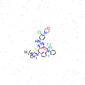 CN(C)c1nc(-c2cccc(N(C(=O)C(F)(F)F)c3c(F)cccc3F)c2)c(-c2ccnc(Nc3ccc(N4CCOCC4)c(Cl)c3)n2)s1